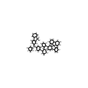 CC1(C)c2ccccc2-c2ccc(N(c3ccccc3)c3ccc(-c4ccccc4-c4ccccc4-c4ccc5c(c4)C(c4ccccc4)(c4ccccc4)c4ccccc4-5)cc3)cc21